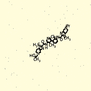 Cc1c(NC(=O)c2nc3c(n2C)CCN(C[C@H](C)O)C3)cncc1-c1cccc(NC(=O)c2nc3c(n2C)CCN(C(C)C)C3)c1Cl